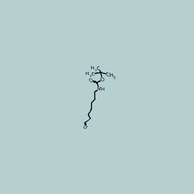 CC(C)(C)OC(=O)NCCCCCC[C]=O